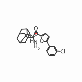 NC(=O)C12CC3CC(C1)C(NC(=O)c1ccc(-c4cccc(Cl)c4)o1)C(C3)C2